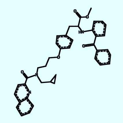 COC(=O)C(Cc1ccc(OCCCN(CC2CC2)C(=O)c2ccc3ccccc3n2)cc1)Nc1ccccc1C(=O)c1ccccc1